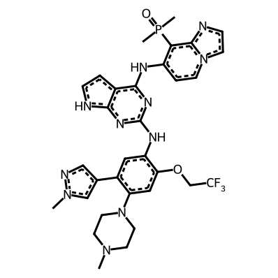 CN1CCN(c2cc(OCC(F)(F)F)c(Nc3nc(Nc4ccn5ccnc5c4P(C)(C)=O)c4cc[nH]c4n3)cc2-c2cnn(C)c2)CC1